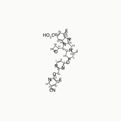 C[C@H]1C[C@@H](Oc2ccnc(COc3ncc(C#N)cc3F)n2)CCN1Cc1nc2c(F)cc(C(=O)O)cc2n1CC1CCO1